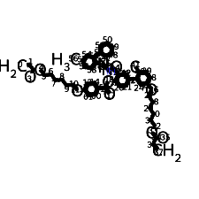 C=CC(=O)OCCCCCCOc1ccc(C(=O)Oc2ccc(-c3cc(OCCCCCCOC(=O)C=C)ccc3C(=O)O)cc2/C=N/n2c3ccccc3c3cc(C)ccc32)cc1